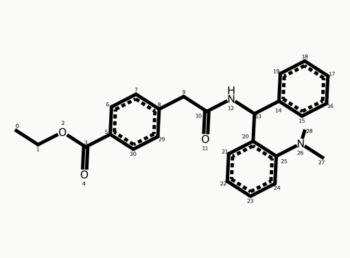 CCOC(=O)c1ccc(CC(=O)NC(c2ccccc2)c2ccccc2N(C)C)cc1